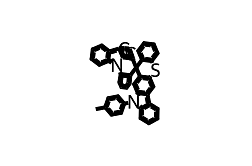 Cc1ccc(-n2c3ccccc3c3cc4c(cc32)C2(c3ccccc3S4)c3ccccc3-n3c4ccccc4c4cccc2c43)cc1